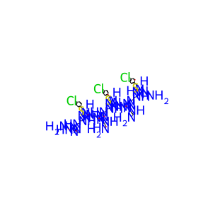 Cc1nc(NCCN)nc(NCCNc2nc(NCCNc3nc(NCCN)nc(NCCNc4nc(NCCNc5nc(NCCN)nc(NCCNc6nc(NCCN)nc(SCc7ccc(Cl)cc7)n6)n5)nc(SCc5ccc(Cl)cc5)n4)n3)nc(SCc3ccc(Cl)cc3)n2)n1